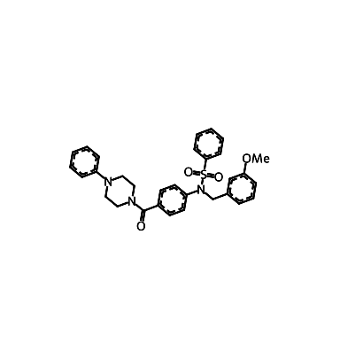 COc1cccc(CN(c2ccc(C(=O)N3CCN(c4ccccc4)CC3)cc2)S(=O)(=O)c2ccccc2)c1